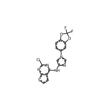 FC1(F)Oc2ccc(-n3cnc(Nc4nc(Cl)nc5sccc45)c3)cc2O1